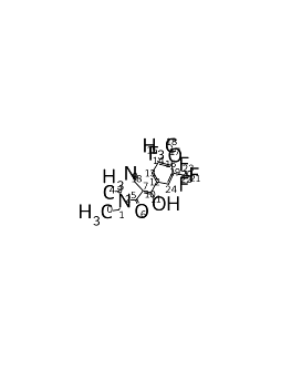 CCN(CC)C(=O)/C(C#N)=C(\O)c1cc(F)c(OC)c(C(F)(F)F)c1